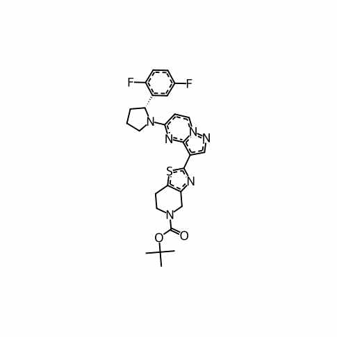 CC(C)(C)OC(=O)N1CCc2sc(-c3cnn4ccc(N5CCC[C@@H]5c5cc(F)ccc5F)nc34)nc2C1